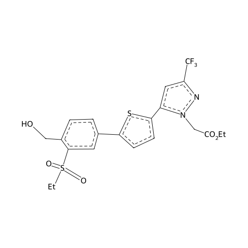 CCOC(=O)Cn1nc(C(F)(F)F)cc1-c1ccc(-c2ccc(CO)c(S(=O)(=O)CC)c2)s1